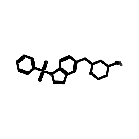 NC1CCOC(Cc2ccc3c(ccn3S(=O)(=O)c3ccccc3)c2)C1